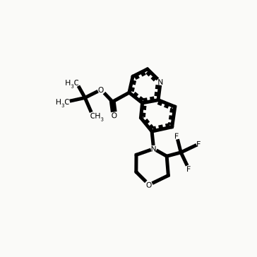 CC(C)(C)OC(=O)c1ccnc2ccc(N3CCOCC3C(F)(F)F)cc12